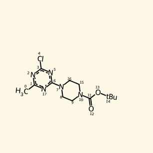 Cc1nc(Cl)nc(N2CCN(C(=O)OC(C)(C)C)CC2)n1